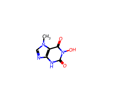 Cn1cnc2[nH]c(=O)n(O)c(=O)c21